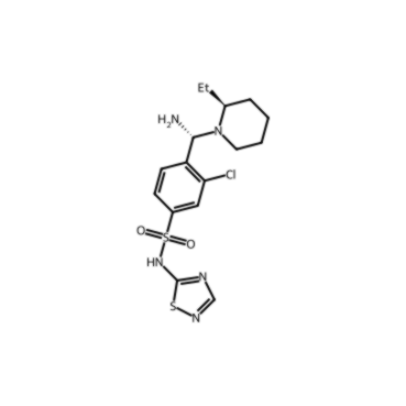 CC[C@H]1CCCCN1[C@@H](N)c1ccc(S(=O)(=O)Nc2ncns2)cc1Cl